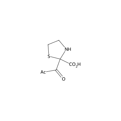 CC(=O)C(=O)C1(C(=O)O)NCCS1